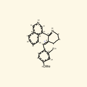 COc1ccc(/C=C2\CCCN=C2c2cncc3ccccc23)c(F)c1